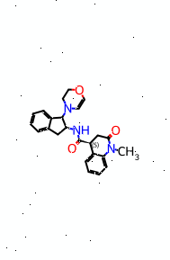 CN1C(=O)C[C@H](C(=O)NC2Cc3ccccc3C2N2C=COCC2)c2ccccc21